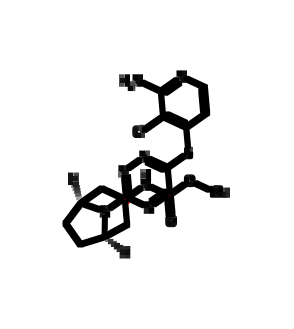 CC(C)(C)OC(=O)NC1C[C@H]2CC[C@@H](C1)N2c1ncc(Sc2ccnc(N)c2Cl)nn1